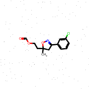 CC1(CCOC=O)CC(c2cccc(Cl)c2)=NO1